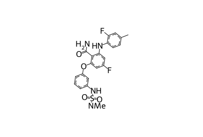 CNS(=O)(=O)Nc1cccc(Oc2cc(F)cc(Nc3ccc(C)cc3F)c2C(N)=O)c1